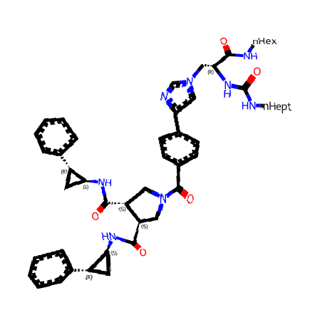 CCCCCCCNC(=O)N[C@H](Cn1cnc(-c2ccc(C(=O)N3C[C@@H](C(=O)N[C@H]4C[C@@H]4c4ccccc4)[C@H](C(=O)N[C@H]4C[C@@H]4c4ccccc4)C3)cc2)c1)C(=O)NCCCCCC